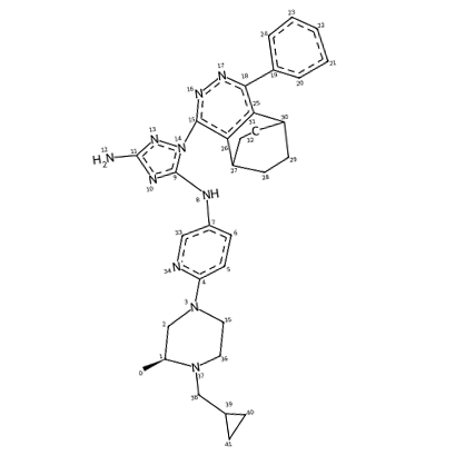 C[C@H]1CN(c2ccc(Nc3nc(N)nn3-c3nnc(-c4ccccc4)c4c3C3CCC4CC3)cn2)CCN1CC1CC1